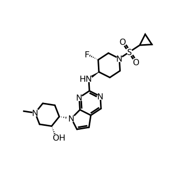 CN1CC[C@H](n2ccc3cnc(N[C@@H]4CCN(S(=O)(=O)C5CC5)C[C@H]4F)nc32)[C@H](O)C1